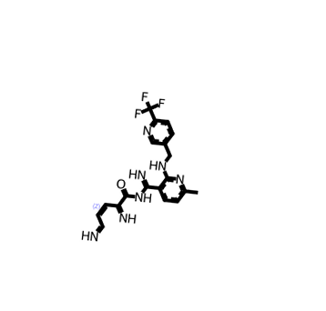 Cc1ccc(C(=N)NC(=O)C(=N)/C=C\C=N)c(NCc2ccc(C(F)(F)F)nc2)n1